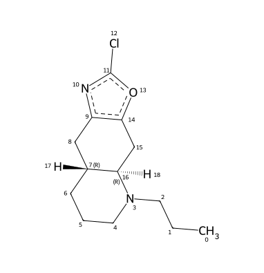 CCCN1CCC[C@@H]2Cc3nc(Cl)oc3C[C@H]21